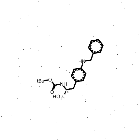 CC(C)(C)OC(=O)N[C@@H](Cc1ccc(NCc2ccccc2)cc1)C(=O)O